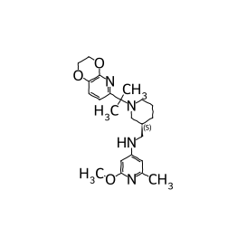 COc1cc(NC[C@@H]2CCCN(C(C)(C)c3ccc4c(n3)OCCO4)C2)cc(C)n1